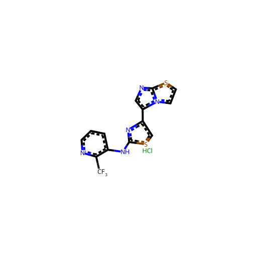 Cl.FC(F)(F)c1ncccc1Nc1nc(-c2cnc3sccn23)cs1